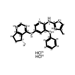 Cc1csc(Nc2ncc(Sc3ncnc4c3[C@H](C)CC4)cc2Oc2ccccc2)n1.Cl.Cl